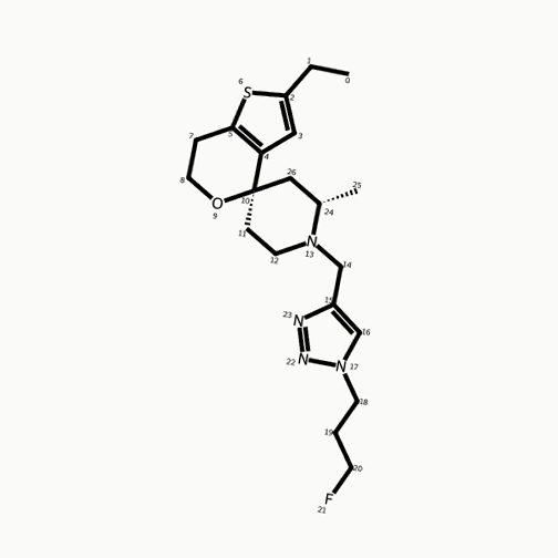 CCc1cc2c(s1)CCO[C@@]21CCN(Cc2cn(CCCF)nn2)[C@@H](C)C1